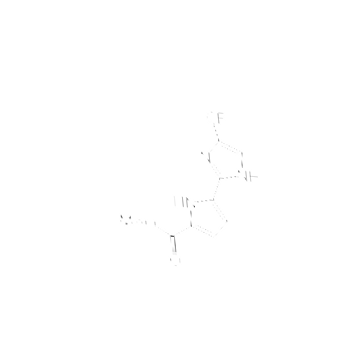 COC(=O)c1ccc(-c2nc(C(F)(F)F)c[nH]2)[nH]1